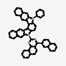 c1ccc(-n2c3cc4ccccc4cc3c3c4c5cc6ccccc6cc5n(-c5nc(-c6ccc7ccccc7c6)c6ccc7ccccc7c6n5)c4ccc32)cc1